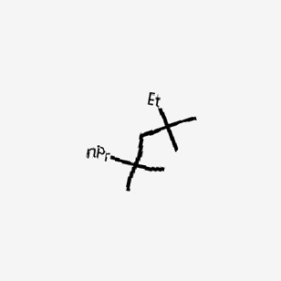 CCCC(C)(C)CC(C)(C)CC